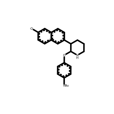 CCCCc1ccc(OC2NCCCC2c2ccc3cc([O])ccc3c2)cc1